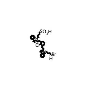 CC1(C)C(/C=C/C2=C(Cl)C(=C/C=C3/N(CCCNBr)c4ccccc4C3(C)C)/CCC2)=[N+](CCCCS(=O)(=O)O)c2ccccc21